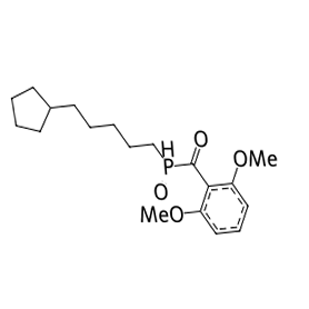 COc1cccc(OC)c1C(=O)[PH](=O)CCCCCC1CCCC1